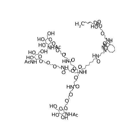 C=C/C=C/COP(=O)(O)OCCOCCNC(=O)C1(F)CCCCCc2c1nnn2CCCNC(=O)CCCCCCC(=O)NC(COCCC(=O)NCCOCCOCCOC1OC(CO)C(O)C(O)C1NC(C)=O)(COCCC(=O)NCCOCCOCCOC1OC(CO)C(O)C(O)C1NC(C)=O)COCCC(=O)NCCOCCOCCOC1OC(CO)C(O)C(O)C1NC(C)=O